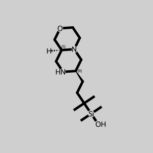 CC(C)(CC[C@@H]1CN2CCOC[C@@H]2CN1)[Si](C)(C)O